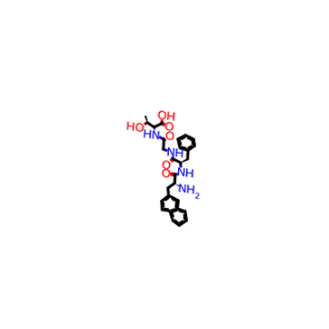 C[C@H](O)[C@@H](NC(=O)CNC(=O)[C@@H](Cc1ccccc1)NC(=O)[C@H](N)Cc1ccc2ccccc2c1)C(=O)O